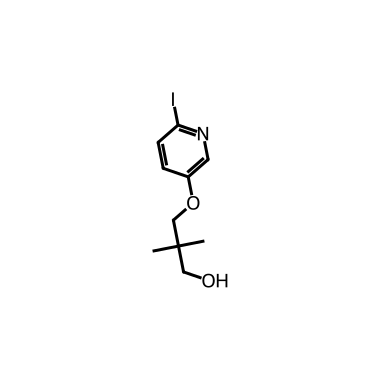 CC(C)(CO)COc1ccc(I)nc1